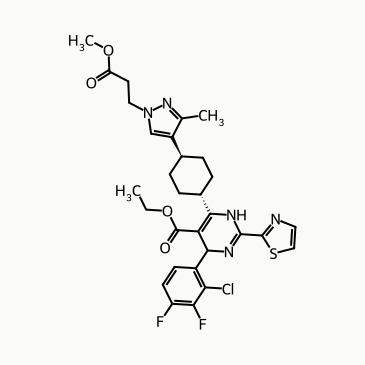 CCOC(=O)C1=C([C@H]2CC[C@H](c3cn(CCC(=O)OC)nc3C)CC2)NC(c2nccs2)=NC1c1ccc(F)c(F)c1Cl